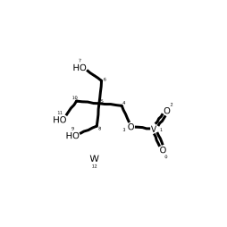 [O]=[V](=[O])[O]CC(CO)(CO)CO.[W]